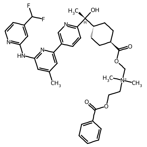 Cc1cc(Nc2cc(C(F)F)ccn2)nc(-c2ccc([C@](C)(O)[C@H]3CC[C@H](C(=O)OC[N+](C)(C)CCOC(=O)c4ccccc4)CC3)nc2)c1